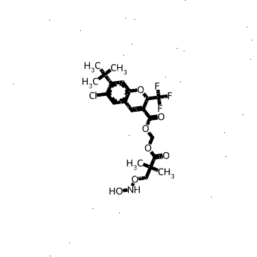 CC(C)(CONO)C(=O)OCOC(=O)C1=Cc2cc(Cl)c(C(C)(C)C)cc2OC1C(F)(F)F